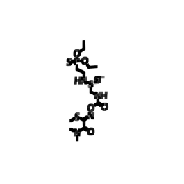 CCOP(=S)(CCN[S+]([O-])CNC(=O)ON=C(SC)C(=O)N(C)C)OCC